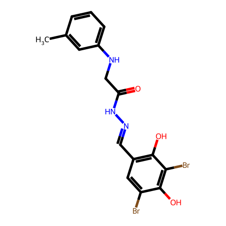 Cc1cccc(NCC(=O)N/N=C/c2cc(Br)c(O)c(Br)c2O)c1